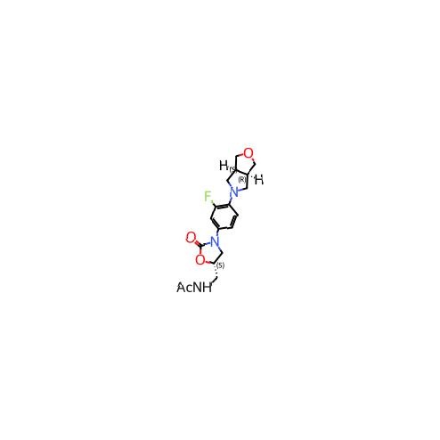 CC(=O)NC[C@H]1CN(c2ccc(N3C[C@H]4COC[C@H]4C3)c(F)c2)C(=O)O1